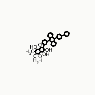 Cc1c(C)c(O)c2c(c1O)c(O)c(O)c1c3cc(-c4c5ccccc5c(-c5ccc(-c6ccccc6)cc5)c5ccccc45)ccc3oc21